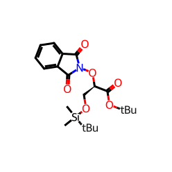 CC(C)(C)OC(=O)[C@@H](CO[Si](C)(C)C(C)(C)C)ON1C(=O)c2ccccc2C1=O